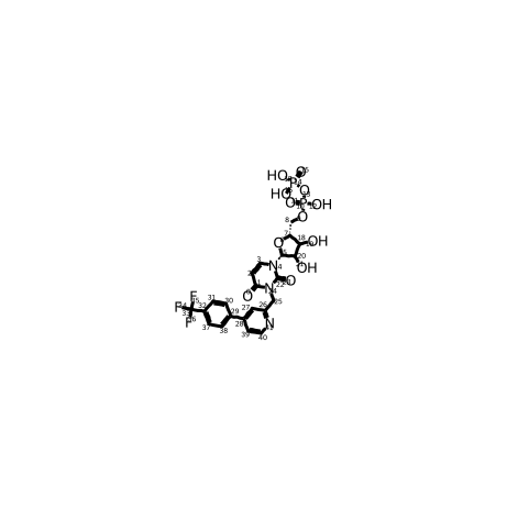 O=c1ccn([C@@H]2O[C@H](COP(=O)(O)OP(=O)(O)O)C(O)C2O)c(=O)n1Cc1cc(-c2ccc(C(F)(F)F)cc2)ccn1